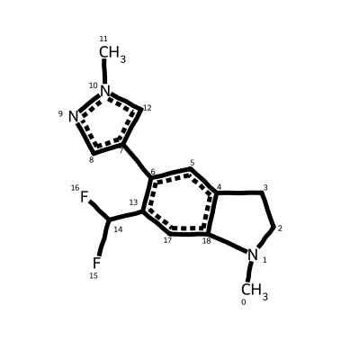 CN1CCc2cc(-c3cnn(C)c3)c(C(F)F)cc21